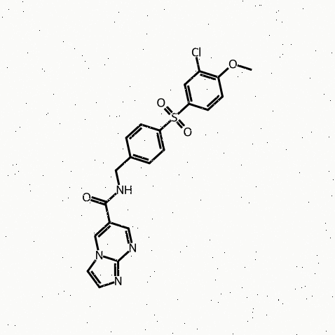 COc1ccc(S(=O)(=O)c2ccc(CNC(=O)c3cnc4nccn4c3)cc2)cc1Cl